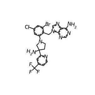 Nc1ncnc2c1ncn2Cc1c(Br)cc(Cl)cc1N1CCC(N)(c2cc(C(F)(F)F)ccn2)C1